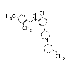 C=CC1CCCC(N2CCC(c3ccc(Cl)c(NCc4ccc(C)cc4C)c3)CC2)C1